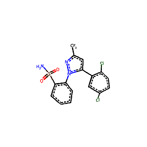 NS(=O)(=O)c1ccccc1-n1nc(C(F)(F)F)cc1-c1cc(Cl)ccc1Cl